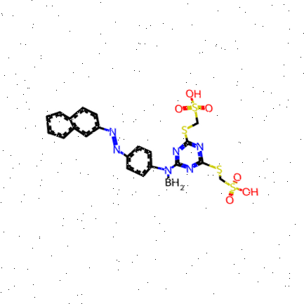 BN(c1ccc(N=Nc2ccc3ccccc3c2)cc1)c1nc(SCS(=O)(=O)O)nc(SCS(=O)(=O)O)n1